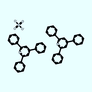 O=S(=O)([O-])[O-].c1ccc(-c2cc(-c3ccccc3)[s+]c(-c3ccccc3)c2)cc1.c1ccc(-c2cc(-c3ccccc3)[s+]c(-c3ccccc3)c2)cc1